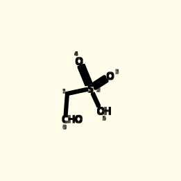 O=CCS(=O)(=O)O